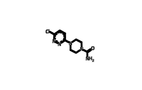 NC(=O)N1CCN(c2ccc(Cl)nn2)CC1